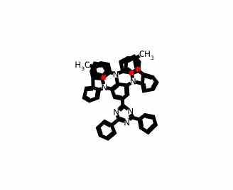 Cc1ccc(N(c2ccc(C)cc2)c2c(-n3c4ccccc4c4ccccc43)cc(-c3nc(-c4ccccc4)nc(-c4ccccc4)n3)cc2-n2c3ccccc3c3ccccc32)cc1